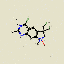 Cc1nc(Cl)c2cc3c(cc2n1)[N+](C)([O-])CC3(CF)CF